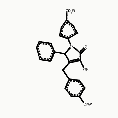 CCOC(=O)c1ccc(N2C(=O)C(O)=C(Cc3ccc(OC)cc3)C2c2ccccc2)cc1